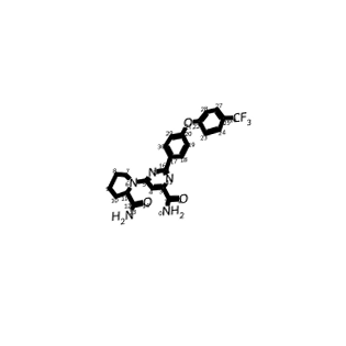 NC(=O)c1cc(N2CCCCC2C(N)=O)nc(-c2ccc(Oc3ccc(C(F)(F)F)cc3)cc2)n1